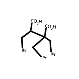 CC(C)CC(C(=O)O)C(CC(C)C)(CC(C)C)C(=O)O